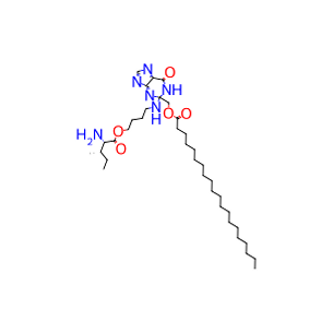 CCCCCCCCCCCCCCCCCCCC(=O)OCC1(NCCCCOC(=O)[C@@H](N)[C@@H](C)CC)N=C2N=CN=C2C(=O)N1